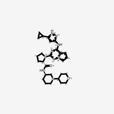 O=C(N[C@@H]1CCCN(C2CCOCC2)C1)[C@@H]1CCCN1c1nc(Nc2cc(C3CC3)[nH]n2)c2cccn2n1